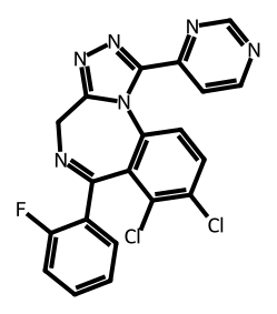 Fc1ccccc1C1=NCc2nnc(-c3ccncn3)n2-c2ccc(Cl)c(Cl)c21